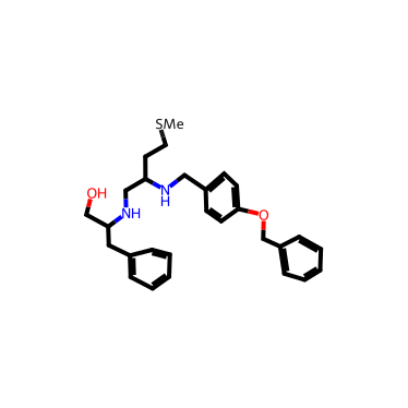 CSCCC(CNC(CO)Cc1ccccc1)NCc1ccc(OCc2ccccc2)cc1